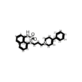 O=S1(=O)Nc2cccc3cccc(c23)N1CCCN1CC=C(c2ccccc2)CC1